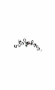 O=C(NC1CC2(NC(=O)[C@H]3CC(=O)c4cc(Cl)ccc4O3)CC1C2)c1ccc(OC(F)(F)F)nc1